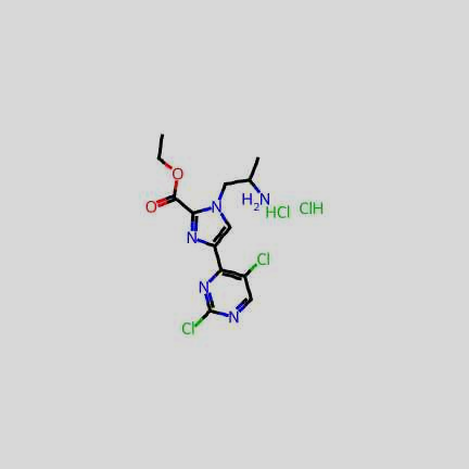 CCOC(=O)c1nc(-c2nc(Cl)ncc2Cl)cn1CC(C)N.Cl.Cl